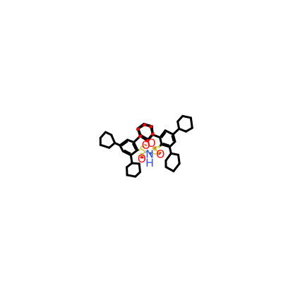 O=S(=O)(NS(=O)(=O)c1c(C2CCCCC2)cc(C2CCCCC2)cc1C1CCCCC1)c1c(C2CCCCC2)cc(C2CCCCC2)cc1C1CCCCC1